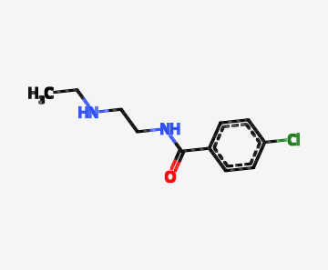 CCNCCNC(=O)c1ccc(Cl)cc1